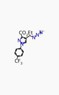 CCOC(=O)c1nn(-c2ccc(C(F)(F)F)cc2)cc1CN=[N+]=[N-]